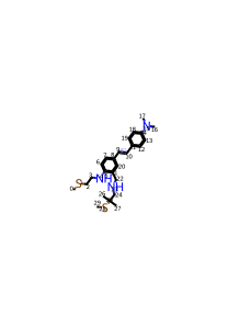 CSCCNc1ccc(/C=C/c2ccc(N(C)C)cc2)cc1CNCC(C)(C)SC